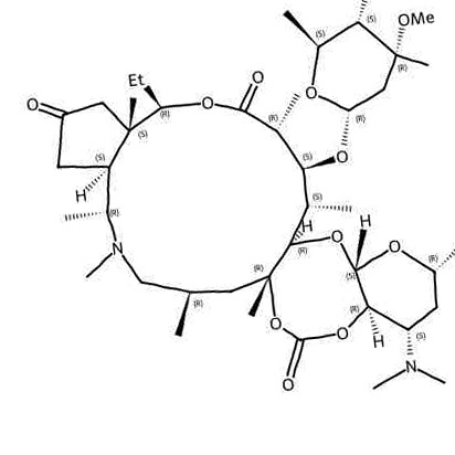 CC[C@H]1OC(=O)[C@H](C)[C@@H](O[C@H]2C[C@@](C)(OC)[C@@H](O)[C@H](C)O2)[C@H](C)[C@H]2O[C@@H]3O[C@H](C)C[C@H](N(C)C)[C@H]3OC(=O)O[C@]2(C)C[C@@H](C)CN(C)[C@H](C)[C@H]2CC(=O)C[C@@]21C